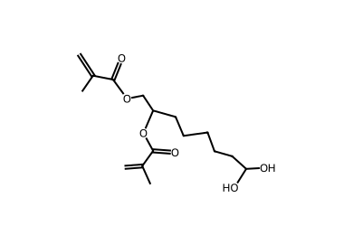 C=C(C)C(=O)OCC(CCCCCC(O)O)OC(=O)C(=C)C